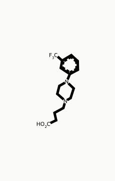 O=C(O)CCCN1CCN(c2cccc(C(F)(F)F)c2)CC1